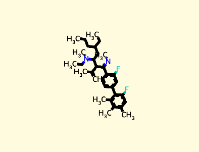 C=C(C)C(/C(=N\C)c1ccc(-c2c(F)cc(C)c(C)c2C)cc1F)C(CC(CC)CCC)N(C)CC